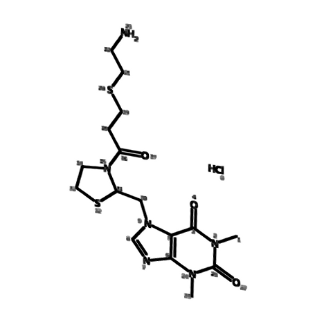 Cl.Cn1c(=O)c2c(ncn2CC2SCCN2C(=O)CCSCCN)n(C)c1=O